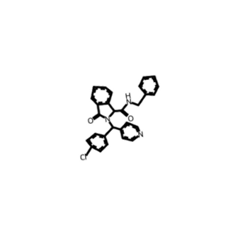 O=C(NCc1ccccc1)C1c2ccccc2C(=O)N1C(c1ccncc1)c1ccc(Cl)cc1